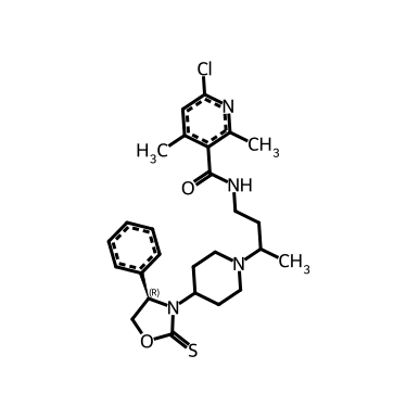 Cc1cc(Cl)nc(C)c1C(=O)NCCC(C)N1CCC(N2C(=S)OC[C@H]2c2ccccc2)CC1